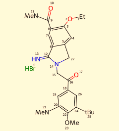 Br.CCOc1cc2c(cc1C(=O)NC)C(=N)N(CC(=O)c1cc(NC)c(OC)c(C(C)(C)C)c1)C2